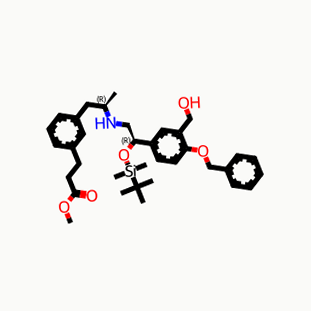 COC(=O)CCc1cccc(C[C@@H](C)NC[C@H](O[Si](C)(C)C(C)(C)C)c2ccc(OCc3ccccc3)c(CO)c2)c1